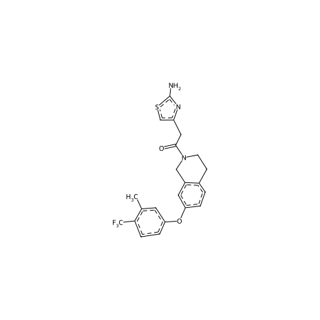 Cc1cc(Oc2ccc3c(c2)CN(C(=O)Cc2csc(N)n2)CC3)ccc1C(F)(F)F